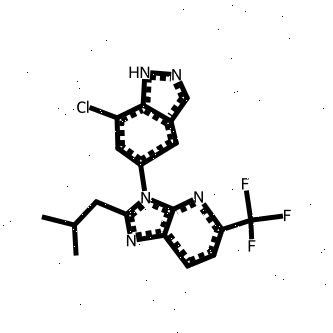 CC(C)Cc1nc2ccc(C(F)(F)F)nc2n1-c1cc(Cl)c2[nH]ncc2c1